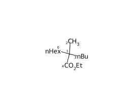 CCCCCCC(C)(CCCC)C(=O)OCC